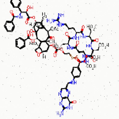 CC(=O)O[C@H]1C(=O)[C@@]2(C)C([C@H](OC(=O)c3ccccc3)[C@]3(O)C[C@H](OC(=O)[C@H](O)[C@@H](NC(=O)c4ccccc4)c4ccccc4)C(C)=C1C3(C)C)[C@]1(OC(C)=O)CO[C@@H]1C[C@@H]2OC(=O)OCCSSC[C@H](NC(=O)[C@H](CC(=O)O)NC(=O)[C@H](CC(=O)O)NC(=O)[C@H](CCCNC(=N)N)NC(=O)[C@H](CC(=O)O)NC(=O)CC[C@H](NC(=O)c1ccc(NCc2cnc3nc(N)[nH]c(=O)c3n2)cc1)C(=O)O)C(=O)O